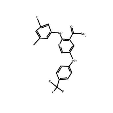 Cc1cc(F)cc(Nc2ncc(Nc3ccc(C(F)(F)F)cc3)cc2C(N)=O)c1